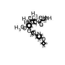 COc1ccc([C@@H]2CN(C(=O)[C@@H](O)CO)C[C@@]2(C)[C@@H](C)O)cc1OC1CN(c2ccc(OC3CCC3)cn2)C1